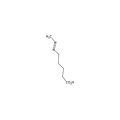 C/N=N/CCCCC(=O)O